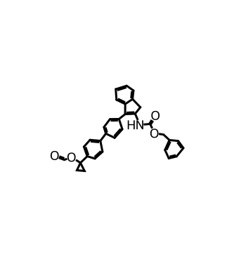 O=COC1(c2ccc(-c3ccc(C4=C(NC(=O)OCc5ccccc5)Cc5ccccc54)cc3)cc2)CC1